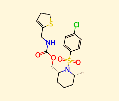 C[C@@H]1CCC[C@H](COC(=O)NCC2=CCCS2)N1S(=O)(=O)c1ccc(Cl)cc1